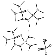 CN(C)P(=N[P+](N(C)C)(N(C)C)N(C)C)(N(C)C)N(C)C.CN(C)P(=N[P+](N(C)C)(N(C)C)N(C)C)(N(C)C)N(C)C.O=P([O-])([O-])O